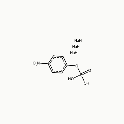 O=[N+]([O-])c1ccc(OP(=O)(O)O)cc1.[NaH].[NaH].[NaH]